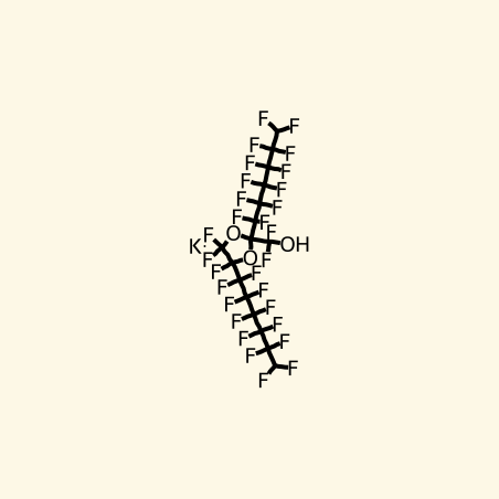 OC(F)(F)C1(C(F)(F)C(F)(F)C(F)(F)C(F)(F)C(F)(F)C(F)F)OC(F)(F)C(F)(C(F)(F)C(F)(F)C(F)(F)C(F)(F)C(F)(F)C(F)F)O1.[K]